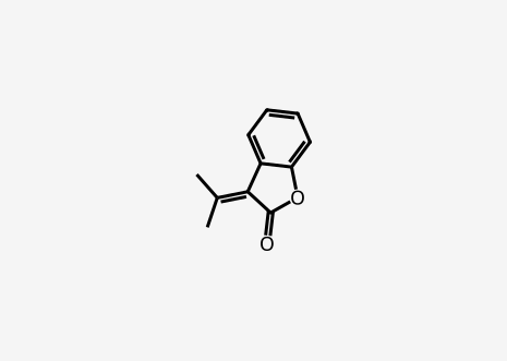 CC(C)=C1C(=O)Oc2ccccc21